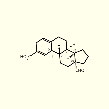 C[C@]12C=C(C(=O)O)CC=C1CC[C@H]1[C@@H]3CCC[C@@]3(C=O)CC[C@@H]12